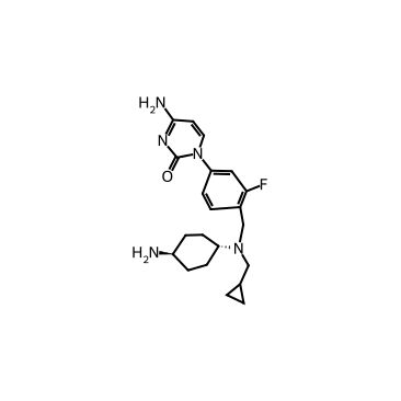 Nc1ccn(-c2ccc(CN(CC3CC3)[C@H]3CC[C@H](N)CC3)c(F)c2)c(=O)n1